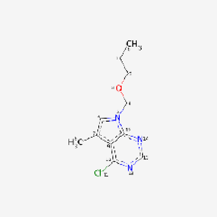 CCCOCn1cc(C)c2c(Cl)ncnc21